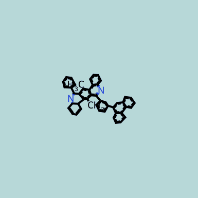 Cc1c2c(c(C)c3c1c(-c1cccc(-c4cc5ccccc5c5ccccc45)c1)nc1ccccc13)C(c1ccccc1)=NC1C=CC=CC21